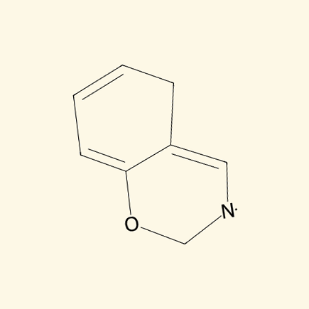 C1=CCC2=C[N]COC2=C1